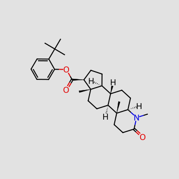 CN1C(=O)CC[C@]2(C)[C@H]3CC[C@]4(C)[C@@H](C(=O)Oc5ccccc5C(C)(C)C)CC[C@H]4[C@@H]3CC[C@@H]12